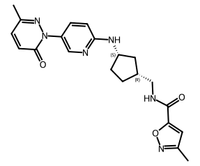 Cc1cc(C(=O)NC[C@@H]2CC[C@H](Nc3ccc(-n4nc(C)ccc4=O)cn3)C2)on1